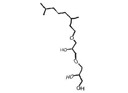 CC(C)CCCC(C)CCOCC(O)COCC(O)CO